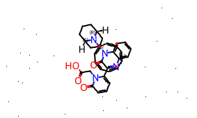 O=C(O)Cn1c(-c2nc3ccccc3n([C@H]3C[C@H]4CCC[C@@H](C3)N4c3ccccccccc3)c2=O)cccc1=O